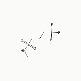 CNS(=O)(=O)CCCC(F)(F)F